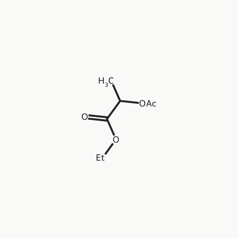 [CH2]C(=O)OC(C)C(=O)OCC